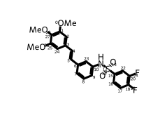 COc1cc(C=Cc2cccc(NS(=O)(=O)c3ccc(F)c(F)c3)c2)cc(OC)c1OC